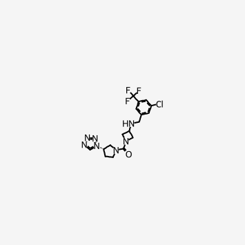 O=C(N1CC(NCc2cc(Cl)cc(C(F)(F)F)c2)C1)N1CC[C@H](n2cnnn2)C1